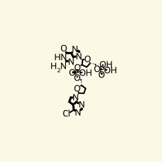 Nc1nc2c(ncn2[C@@H]2O[C@H](COP(=O)(O)O)CC2OP(=O)(O)OC[C@@H]2CC[C@H](n3ccc4c(Cl)ncnc43)O2)c(=O)[nH]1